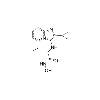 CCc1cccc2nc(C3CC3)c(NCC(=O)NO)n12